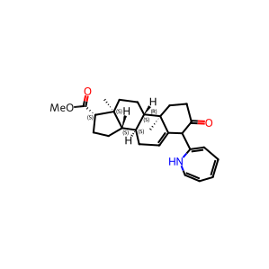 COC(=O)[C@H]1CC[C@H]2[C@@H]3CC=C4C(C5=CC=CC=CN5)C(=O)CC[C@]4(C)[C@H]3CC[C@]12C